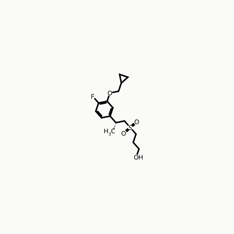 C[C@@H](CS(=O)(=O)CCCO)c1ccc(F)c(OCC2CC2)c1